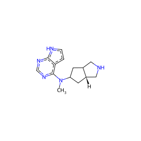 CN(c1ncnc2[nH]ccc12)C1CC2CNC[C@@H]2C1